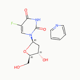 O=c1[nH]c(=O)n([C@H]2C[C@H](O)[C@@H](CO)O2)cc1F.c1ccncc1